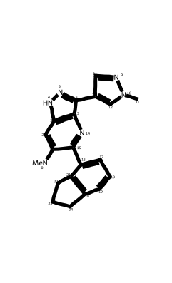 CNc1cc2[nH]nc(-c3cnn(C)c3)c2nc1-c1cccc2c1CCC2